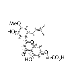 COc1cc(CC=C(C)C)c(-c2cc(=O)c3c(O)cc(OCC(=O)O)cc3o2)cc1O